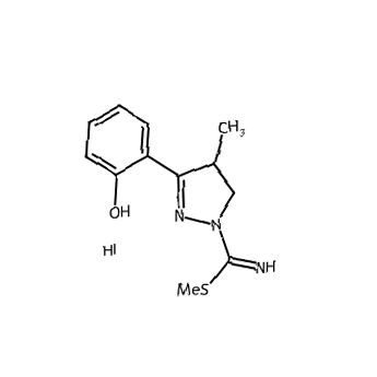 CSC(=N)N1CC(C)C(c2ccccc2O)=N1.I